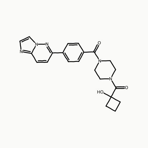 O=C(c1ccc(-c2ccc3nccn3n2)cc1)N1CCN(C(=O)C2(O)CCC2)CC1